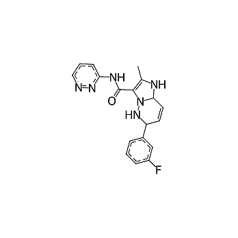 CC1=C(C(=O)Nc2cccnn2)N2NC(c3cccc(F)c3)C=CC2N1